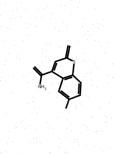 C=C1C=C(C(=C)N)c2cc(C)ccc2S1